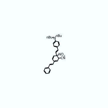 CCCCN(CCCC)c1ccc(C=CC2([N+](=O)[O-])C=CC(C=Cc3ccccc3)=CC2C#N)cc1